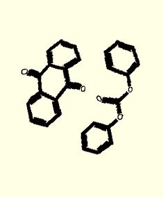 O=C(Oc1ccccc1)Oc1ccccc1.O=C1c2ccccc2C(=O)c2ccccc21